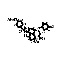 COC(=O)C[C@H](C)N(Cc1ccc(Cl)cc1)c1ccc(NS(=O)(=O)c2ccc(OC)cc2)c2ccccc12